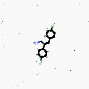 NCC(=Cc1ccc(Cl)cc1)c1ccc(Cl)cc1